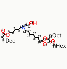 CCCCCCCCCCCC(=O)OCCCCCN(CCO)CCCCCCCC(=O)OC(CCCCCCCC)COCCCCCC